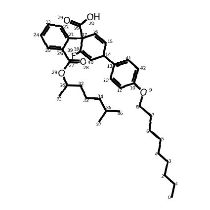 CCCCCCCCCOc1ccc(C2C=CC(C(=O)O)(c3ccccc3C(=O)OC(C)CCCC(C)C)C(F)=C2)cc1